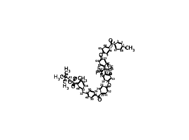 Cc1ccc(C(=O)c2ccc(Oc3ccc(C(c4ccc(Oc5ccc(C(=O)c6ccc(Cc7ccc(C)c(S(=O)(=O)OCC(C)(C)C)c7)cc6)cc5)cc4)(C(F)(F)F)C(F)(F)F)cc3)cc2)cc1